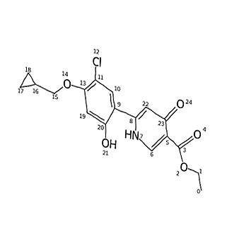 CCOC(=O)c1c[nH]c(-c2cc(Cl)c(OCC3CC3)cc2O)cc1=O